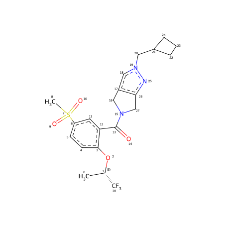 C[C@H](Oc1ccc(S(C)(=O)=O)cc1C(=O)N1Cc2cn(CC3CCC3)nc2C1)C(F)(F)F